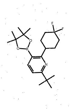 CC(C)(C)c1ccc(B2OC(C)(C)C(C)(C)O2)c(C2CCC(F)(F)CC2)n1